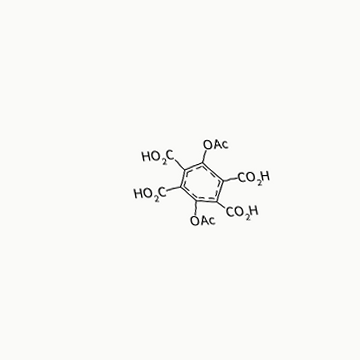 CC(=O)Oc1c(C(=O)O)c(C(=O)O)c(OC(C)=O)c(C(=O)O)c1C(=O)O